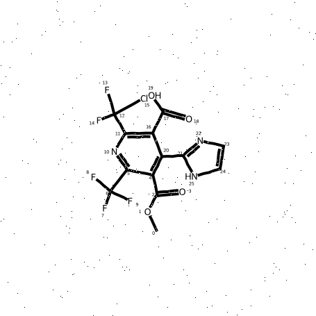 COC(=O)c1c(C(F)(F)F)nc(C(F)(F)Cl)c(C(=O)O)c1-c1ncc[nH]1